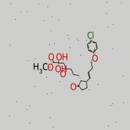 COC(=O)C(O)(O)CC(=O)CCC[C@H]1C(=O)CC[C@@H]1/C=C/CCOc1ccc(Cl)cc1